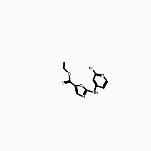 CCOC(=O)c1cnc(Nc2ccnc(Br)c2)o1